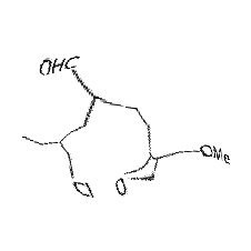 COC(=O)CC(C=O)C(C)Cl